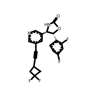 O=C1N[C@H](c2cncc(C#CC3CC(F)(F)C3)c2)[C@@H](c2ccc(F)cc2F)O1